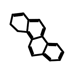 C1=Cc2ccc3c(ccc4ccccc43)c2CC1